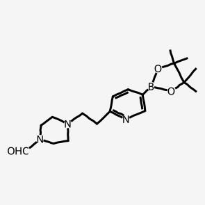 CC1(C)OB(c2ccc(CCN3CCN(C=O)CC3)nc2)OC1(C)C